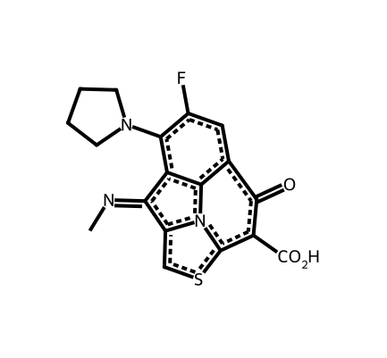 CN=c1c2c(N3CCCC3)c(F)cc3c(=O)c(C(=O)O)c4scc1n4c32